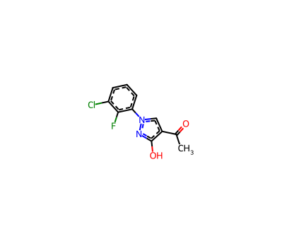 CC(=O)c1cn(-c2cccc(Cl)c2F)nc1O